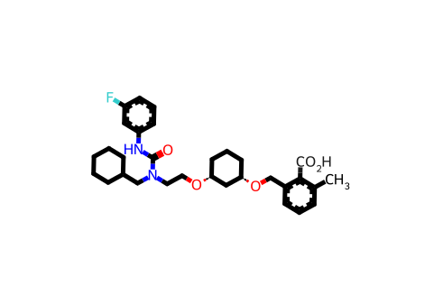 Cc1cccc(CO[C@H]2CCC[C@@H](OCCN(CC3CCCCC3)C(=O)Nc3cccc(F)c3)C2)c1C(=O)O